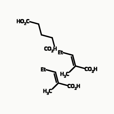 CCC=C(C)C(=O)O.CCC=C(C)C(=O)O.O=C(O)CCCC(=O)O